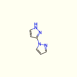 c1cnn(-c2cc[nH]n2)c1